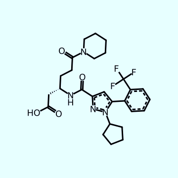 O=C(O)C[C@H](CCC(=O)N1CCCCC1)NC(=O)c1cc(-c2ccccc2C(F)(F)F)n(C2CCCC2)n1